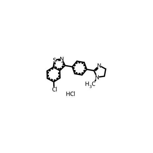 CN1CCN=C1c1ccc(-c2nsc3ccc(Cl)cc23)cc1.Cl